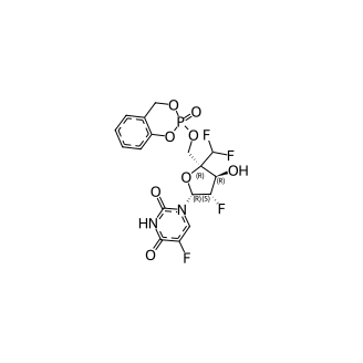 O=c1[nH]c(=O)n([C@@H]2O[C@@](COP3(=O)OCc4ccccc4O3)(C(F)F)[C@@H](O)[C@@H]2F)cc1F